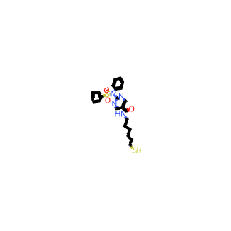 O=C(NCCCCCCS)c1cnc(N(c2ccccc2)S(=O)(=O)c2ccccc2)nc1